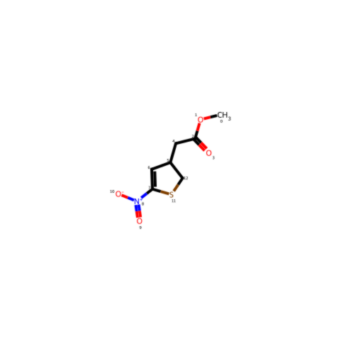 COC(=O)CC1C=C([N+](=O)[O-])SC1